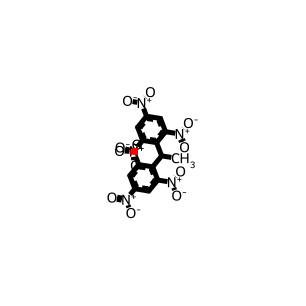 CC(c1c([N+](=O)[O-])cc([N+](=O)[O-])cc1[N+](=O)[O-])c1c([N+](=O)[O-])cc([N+](=O)[O-])cc1[N+](=O)[O-]